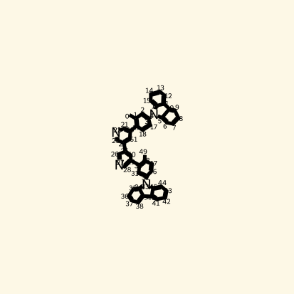 Cc1cc(-n2c3ccccc3c3ccccc32)ccc1-c1cncc(-c2cncc(-c3cc(-n4c5ccccc5c5ccccc54)ccc3C)c2)c1